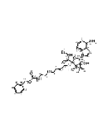 CCNC(=O)[C@@]1(CCOCCOCCNC(=O)OCc2ccccc2)O[C@@H](n2cnc3c(N)ncnc32)[C@@]2(O)C(C)(C)[C@]21O